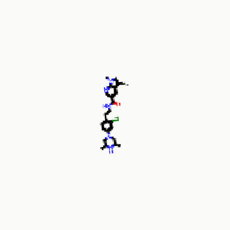 CC(=O)c1cn(C)c2ncc(C(=O)NCCc3ccc(N4CC(C)NC(C)C4)cc3Cl)cc12